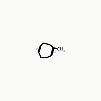 C/C1=C/CC/C=C\CC1